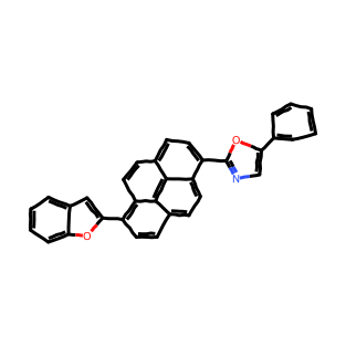 c1ccc(-c2cnc(-c3ccc4ccc5c(-c6cc7ccccc7o6)ccc6ccc3c4c65)o2)cc1